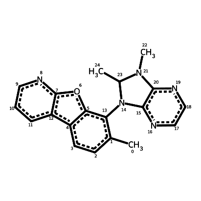 Cc1ccc2c(oc3ncccc32)c1N1c2nccnc2N(C)C1C